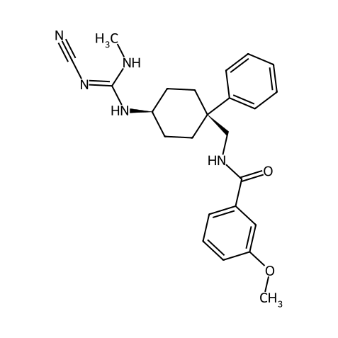 CN/C(=N\C#N)N[C@H]1CC[C@](CNC(=O)c2cccc(OC)c2)(c2ccccc2)CC1